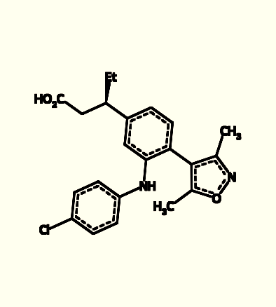 CC[C@H](CC(=O)O)c1ccc(-c2c(C)noc2C)c(Nc2ccc(Cl)cc2)c1